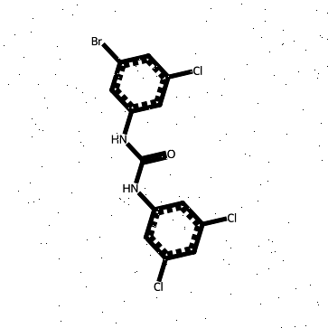 O=C(Nc1cc(Cl)cc(Cl)c1)Nc1cc(Cl)cc(Br)c1